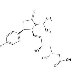 CC(C)N1C(=O)C[C@H](c2ccc(F)cc2)[C@@H]1C=C[C@H](O)C[C@@H](O)CC(=O)O